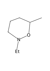 CCN1CCCC(C)O1